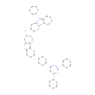 CC1(C)c2cc3oc4ccc(-c5ccc(-c6cc(-c7ccccc7)nc(-c7ccccc7)n6)cc5)cc4c3cc2-c2cc3c4ccccc4n(-c4ccccc4)c3cc21